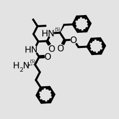 CC(C)CC(NC(=O)[C@@H](N)CCc1ccccc1)C(=O)N[C@@H](Cc1ccccc1)C(=O)OCc1ccccc1